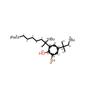 CCCCC(C)(CCCCCC(C)CCC)c1cc(C(C)(C)CC(C)(C)C)cc(S)c1O